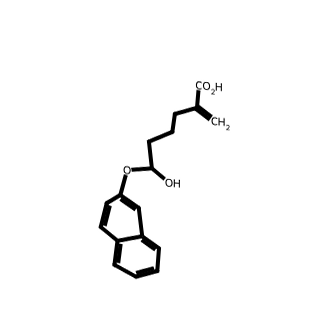 C=C(CCCC(O)Oc1ccc2ccccc2c1)C(=O)O